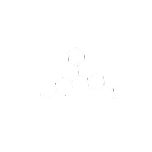 C=CCN1C[C@H](C)N(C(c2ccc(C(N)=O)cc2)c2cccc(O)c2)C[C@@H]1C